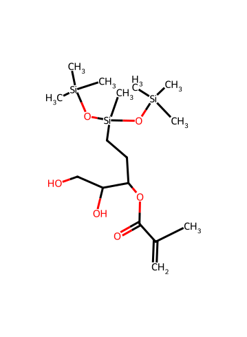 C=C(C)C(=O)OC(CC[Si](C)(O[Si](C)(C)C)O[Si](C)(C)C)C(O)CO